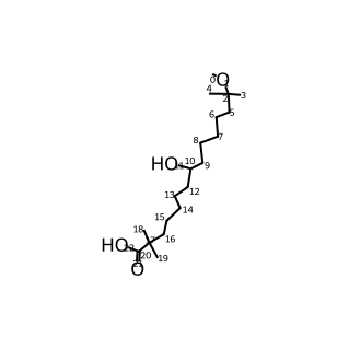 COC(C)(C)CCCCCC(O)CCCCCC(C)(C)C(=O)O